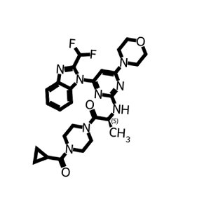 C[C@H](Nc1nc(N2CCOCC2)cc(-n2c(C(F)F)nc3ccccc32)n1)C(=O)N1CCN(C(=O)C2CC2)CC1